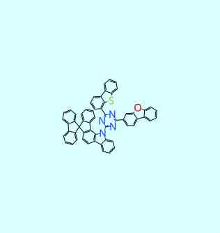 c1ccc2c(c1)-c1ccccc1C21c2ccccc2-c2c1ccc1c3ccccc3n(-c3nc(-c4ccc5c(c4)oc4ccccc45)nc(-c4cccc5c4sc4ccccc45)n3)c21